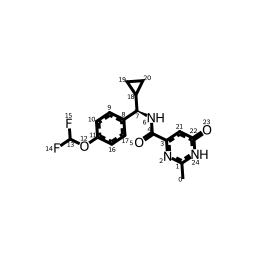 Cc1nc(C(=O)N[C@@H](c2ccc(OC(F)F)cc2)C2CC2)cc(=O)[nH]1